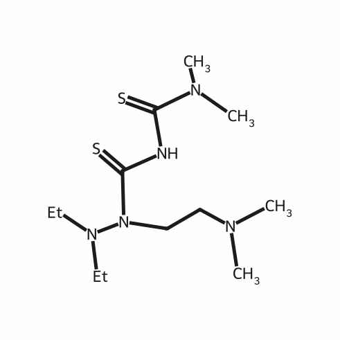 CCN(CC)N(CCN(C)C)C(=S)NC(=S)N(C)C